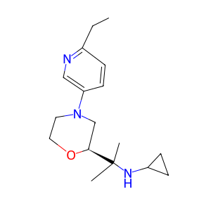 CCc1ccc(N2CCO[C@H](C(C)(C)NC3CC3)C2)cn1